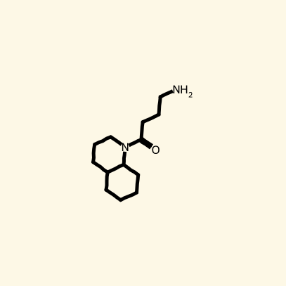 NCCCC(=O)N1CCCC2CCCCC21